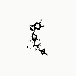 CC(C(=O)NC12CC(F)(C1)C2)[C@H]1[C@@H]2C[C@@H](n3cnc4cc(F)c(F)cc43)C[C@@H]21